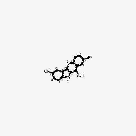 Oc1c2cc(F)ccc2nc2c1oc1ccc(Cl)cc12